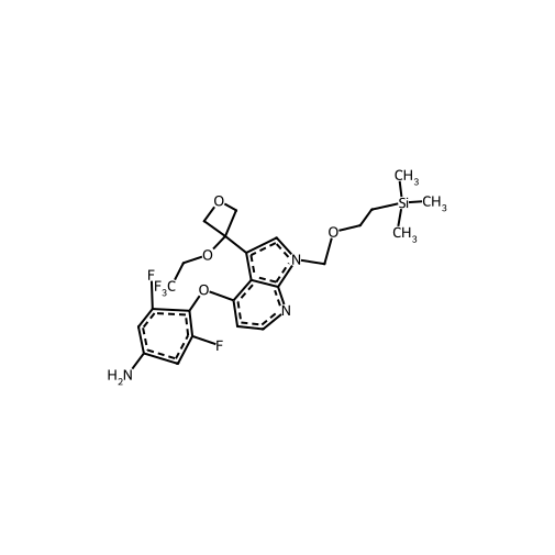 C[Si](C)(C)CCOCn1cc(C2(OCC(F)(F)F)COC2)c2c(Oc3c(F)cc(N)cc3F)ccnc21